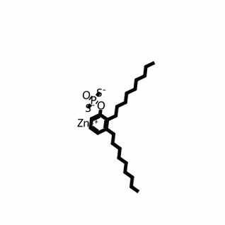 CCCCCCCCCc1cccc(OP(=O)([S-])[S-])c1CCCCCCCCC.[Zn+2]